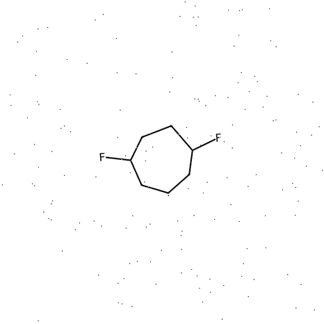 FC1C[CH]CC(F)CC1